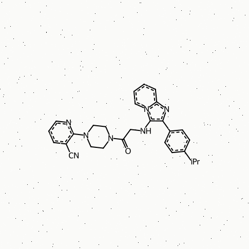 CC(C)c1ccc(-c2nc3ccccn3c2NCC(=O)N2CCN(c3ncccc3C#N)CC2)cc1